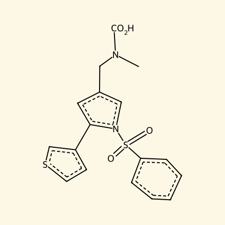 CN(Cc1cc(-c2ccsc2)n(S(=O)(=O)c2ccccc2)c1)C(=O)O